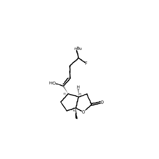 CCCCC(F)CC=C(O)[C@H]1CC[C@@]2(C)OC(=O)C[C@H]12